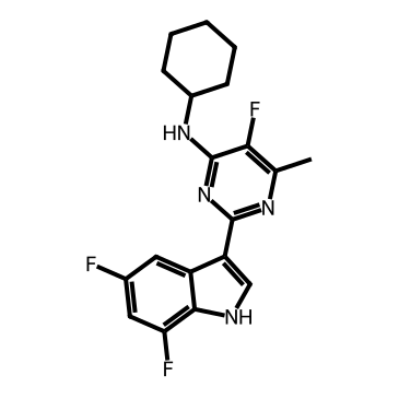 Cc1nc(-c2c[nH]c3c(F)cc(F)cc23)nc(NC2CCCCC2)c1F